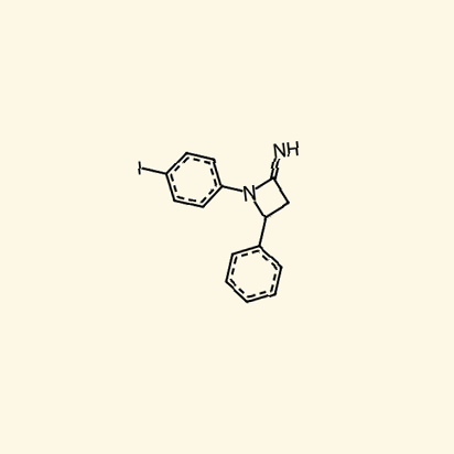 N=C1CC(c2ccccc2)N1c1ccc(I)cc1